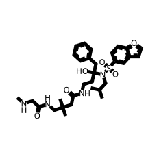 CNCC(=O)NCC(C)(C)CC(=O)NCCC(O)(Cc1ccccc1)N(CC(C)C)S(=O)(=O)c1ccc2occc2c1